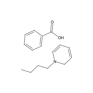 CCCCN1C=CC=CC1.O=C(O)c1ccccc1